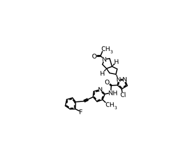 CC(=O)N1C[C@H]2C[C@H](n3ncc(Cl)c3C(=O)Nc3ncc(C#Cc4ccccc4F)cc3C)C[C@H]2C1